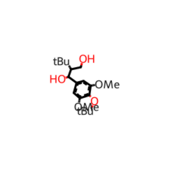 COc1cc(C(O)C(CO)C(C)(C)C)cc(OC)c1OC(C)(C)C